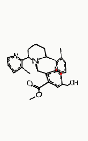 COC(=O)c1cc(CO)ccc1CN1C(c2ncccc2C)CCCC1c1ncccc1C